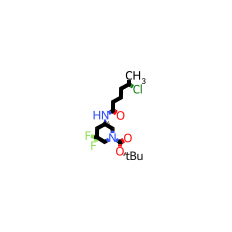 CC(Cl)CCCC(=O)N[C@H]1CN(C(=O)OC(C)(C)C)CC(F)(F)C1